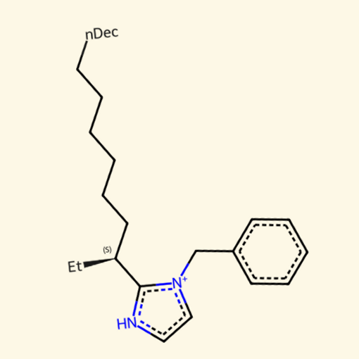 CCCCCCCCCCCCCCCC[C@H](CC)c1[nH]cc[n+]1Cc1ccccc1